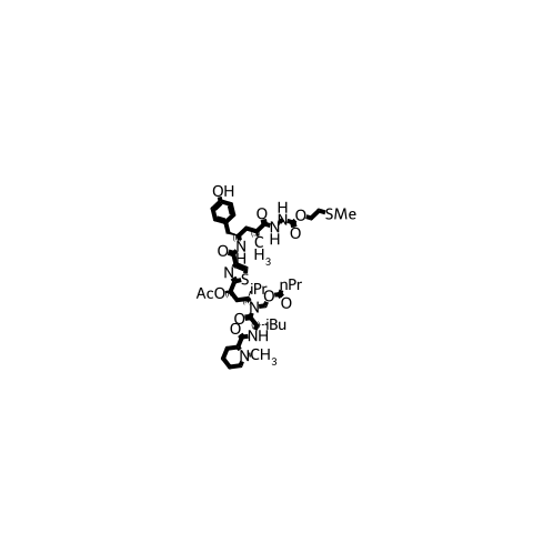 CCCC(=O)OCN(C(=O)[C@@H](NC(=O)C1CCCCN1C)C(C)CC)[C@H](C[C@@H](OC(C)=O)c1nc(C(=O)N[C@@H](Cc2ccc(O)cc2)C[C@H](C)C(=O)NNC(=O)OCCSC)cs1)C(C)C